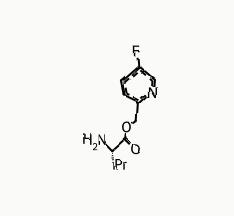 CC(C)[C@H](N)C(=O)OCc1ccc(F)cn1